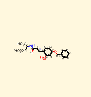 O=C(O)CC(NC(=O)/C=C/c1ccc(OCc2ccccc2)cc1O)C(=O)O